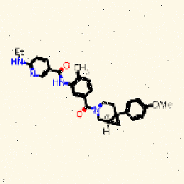 CCNc1ccc(C(=O)Nc2cc(C(=O)N3CCC4(c5ccc(OC)cc5)C[C@@H]4C3)ccc2C)cn1